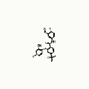 Cc1cc(F)ccc1Oc1cc(C(F)(F)F)ccc1C(=O)Nc1ccc(F)c(C=O)c1